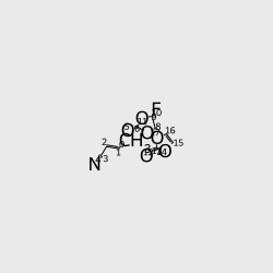 CC=CC#N.O=C1OCC(F)O1.O=c1occo1